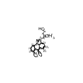 CN(CCO)CCN1N=C2c3cccc(Cl)c3C(=O)C3C=CC=C1C23